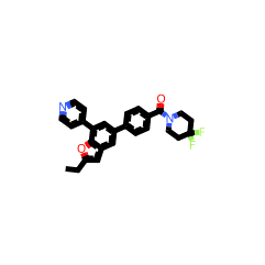 CCc1cc2cc(-c3ccc(C(=O)N4CCC(F)(F)CC4)cc3)cc(-c3ccncc3)c2o1